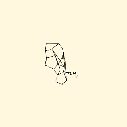 C[C@@]12C3CC[C@]14CC15C6CC4C1(I)C21C3C2CC6C251